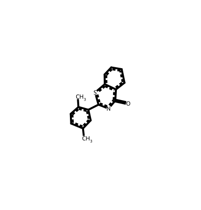 Cc1ccc(C)c(-c2nc(=O)c3ccccc3s2)c1